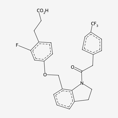 O=C(O)CCc1ccc(OCc2cccc3c2N(C(=O)Cc2ccc(C(F)(F)F)cc2)CC3)cc1F